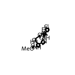 COC(=O)Nc1ccc2c(c1)NC(=O)[C@H](C)CC(=O)C[C@H](Nc1nnn(-c3cccc(Cl)c3F)c1C)c1cc-2ccn1